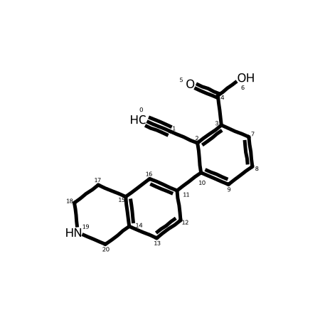 C#Cc1c(C(=O)O)cccc1-c1ccc2c(c1)CCNC2